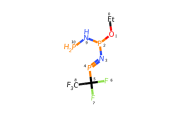 CCOP(N=PC(F)(F)C(F)(F)F)NP